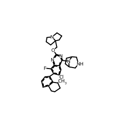 CC1CCCc2cccc(-c3c(Cl)cc4c(N5C6CCC5CNC6)nc(OCC56CCCN5CCC6)nc4c3F)c21